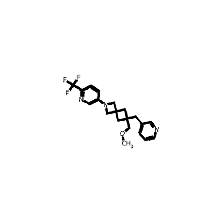 COCC1(Cc2cccnc2)CC2(CN(c3ccc(C(F)(F)F)nc3)C2)C1